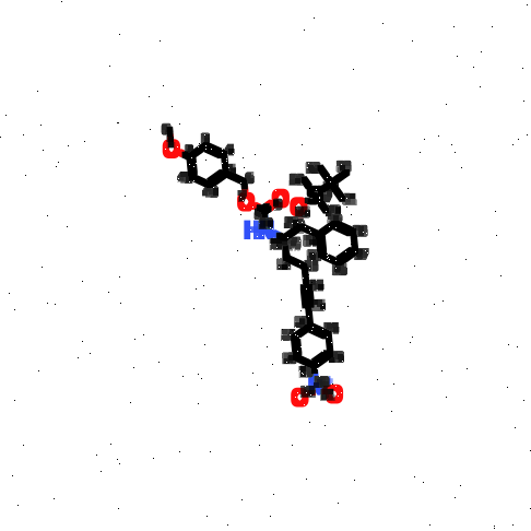 COc1ccc(COC(=O)N[C@H](CCC#Cc2ccc([N+](=O)[O-])cc2)[C@H](O[Si](C)(C)C(C)(C)C)c2ccccc2)cc1